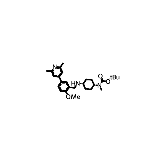 COc1ccc(-c2cc(C)nc(C)c2)cc1CN[C@H]1CC[C@H](N(C)C(=O)OC(C)(C)C)CC1